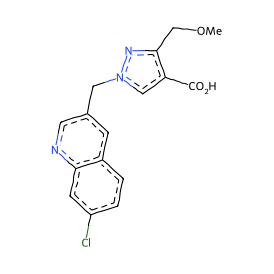 COCc1nn(Cc2cnc3cc(Cl)ccc3c2)cc1C(=O)O